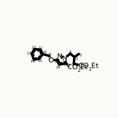 CCOC(=O)CC(C)Cn1nc(OCc2ccccc2)cc1C(=O)OCC